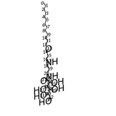 CCCCCCCCCCCCCOCCCNCCCNC(=O)[C@H](O)[C@@H](O)[C@H](O)[C@H](O)CO